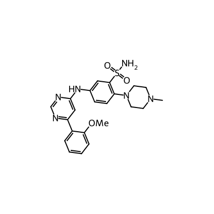 COc1ccccc1-c1cc(Nc2ccc(N3CCN(C)CC3)c(S(N)(=O)=O)c2)ncn1